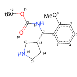 COc1ccccc1C(NC(=O)OC(C)(C)C)[C@@H]1CCNC1